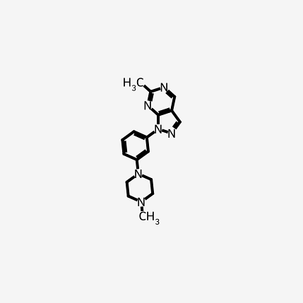 Cc1ncc2cnn(-c3cccc(N4CCN(C)CC4)c3)c2n1